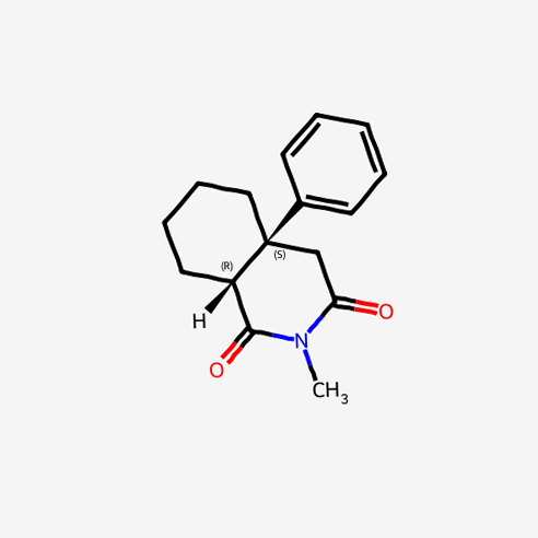 CN1C(=O)C[C@@]2(c3ccccc3)CCCC[C@H]2C1=O